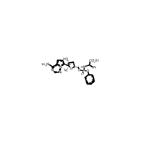 CCOC(=O)C(NP(=O)(OC[C@@H]1C[C@@H](O)[C@](C#N)(c2ccc3c(N)ncnn23)O1)Oc1ccccc1)C(C)C